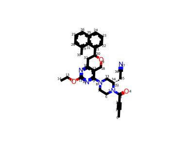 CC#CC(=O)N1CCN(c2nc(OCC)nc3c2COC(c2cccc4cccc(C)c24)C3)C[C@@H]1CC#N